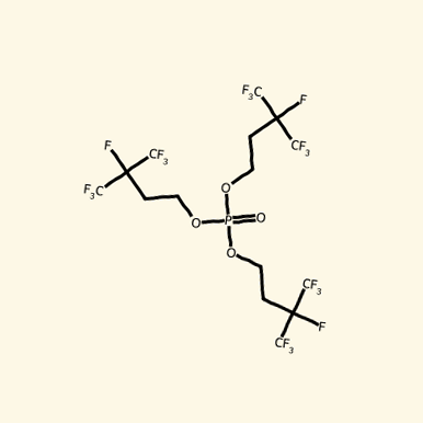 O=P(OCCC(F)(C(F)(F)F)C(F)(F)F)(OCCC(F)(C(F)(F)F)C(F)(F)F)OCCC(F)(C(F)(F)F)C(F)(F)F